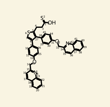 OC(=S)CCc1scc(-c2ccc(OCc3ccc4ccccc4n3)cc2)c1-c1ccc(OCc2ccc3ccccc3n2)cc1